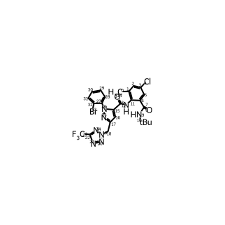 Cc1cc(Cl)cc(C(=O)NC(C)(C)C)c1NC(=O)c1cc(Cn2nnc(C(F)(F)F)n2)nn1-c1ccccc1Br